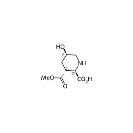 COC(=O)[C@@H]1C[C@@H](O)CN[C@H]1C(=O)O